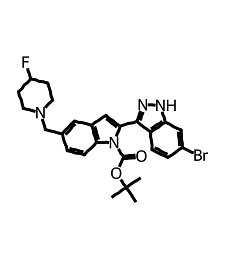 CC(C)(C)OC(=O)n1c(-c2n[nH]c3cc(Br)ccc23)cc2cc(CN3CCC(F)CC3)ccc21